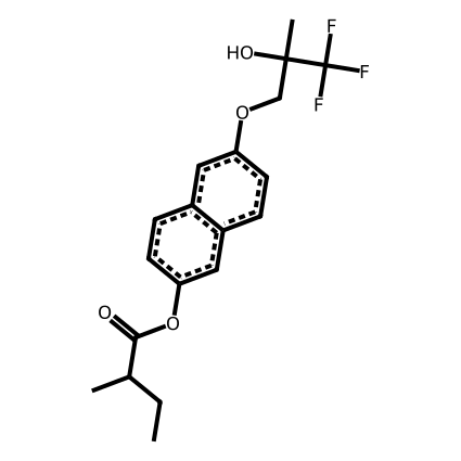 CCC(C)C(=O)Oc1ccc2cc(OCC(C)(O)C(F)(F)F)ccc2c1